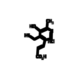 Cc1ncc(/C=C/C(=O)O)c(CS)c1O.Cl